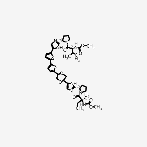 CC[C@](C)(NC(=O)OC)C(=O)N1CCC[C@H]1c1ncc(C2COC(c3ccc(-c4ccc(-c5cnc([C@@H]6CCCN6C(=O)[C@@H](NC(=O)OC)C(C)C)[nH]5)s4)s3)CO2)[nH]1